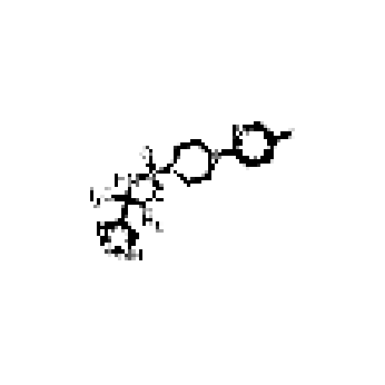 CC(C)(NS(=O)(=O)N1CCN(c2ccc(Cl)cn2)CC1)c1c[nH]nn1